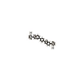 c1cc2cc(-c3ccc(-c4ccc5nc(C6=NCCN6)cn5c4)cc3)oc2cc1C1=NCCN1